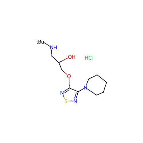 CC(C)(C)NCC(O)COc1nsnc1N1CCCCC1.Cl